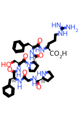 N=C(N)NCCC[C@H](NC(=O)[C@H](Cc1ccccc1)NC(=O)[C@@H]1CCCN1C(=O)[C@H](CO)NC(=O)[C@H](Cc1ccccc1)NC(=O)CNC(=O)[C@@H]1CCCN1)C(=O)O